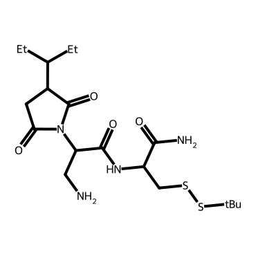 CCC(CC)C1CC(=O)N(C(CN)C(=O)NC(CSSC(C)(C)C)C(N)=O)C1=O